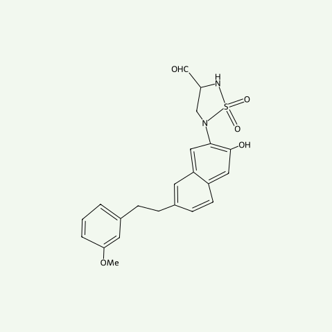 COc1cccc(CCc2ccc3cc(O)c(N4CC(C=O)NS4(=O)=O)cc3c2)c1